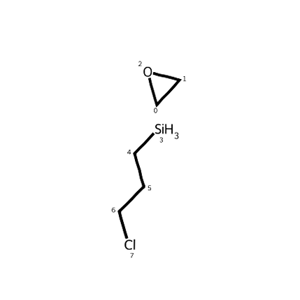 C1CO1.[SiH3]CCCCl